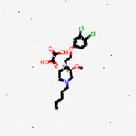 CCCCCN1CC[C@@H](CCOc2ccc(Cl)c(Cl)c2)[C@@H](OC)C1.O=C(O)C(=O)O